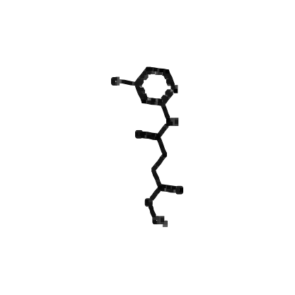 COC(=O)CCC(=O)Nc1cc(Cl)ccn1